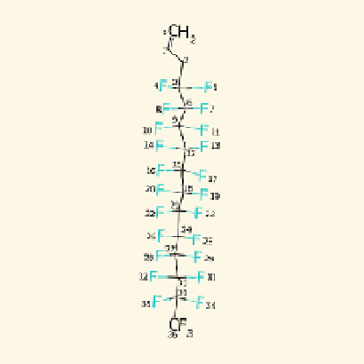 C=CCC(F)(F)C(F)(F)C(F)(F)C(F)(F)C(F)(F)C(F)(F)C(F)(F)C(F)(F)C(F)(F)C(F)(F)C(F)(F)C(F)(F)F